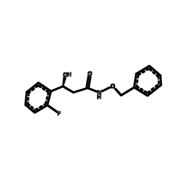 O=C(C[C@H](O)c1ccccc1F)NOCc1ccccc1